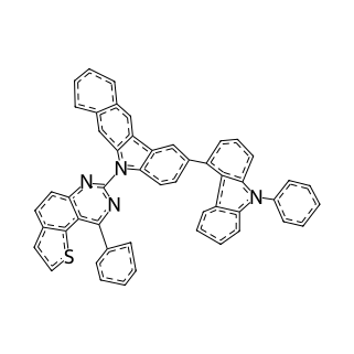 c1ccc(-c2nc(-n3c4ccc(-c5cccc6c5c5ccccc5n6-c5ccccc5)cc4c4cc5ccccc5cc43)nc3ccc4ccsc4c23)cc1